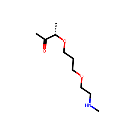 CNCCOCCCO[C@@H](C)C(C)=O